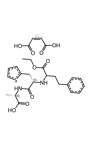 CCOC(=O)C(CCc1ccccc1)N[C@@H](Cc1cccs1)C(=O)N[C@@H](C)C(=O)O.O=C(O)/C=C\C(=O)O